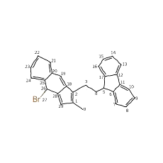 CC1=C(CCC2c3ccccc3-c3ccccc32)C2=Cc3ccccc3C(Br)C2=C1